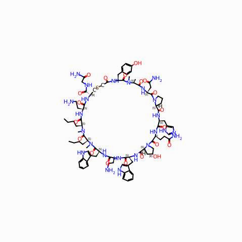 CCCC[C@H]1C(=O)N(C)[C@@H](CCCC)C(=O)N[C@@H](CCN)C(=O)N[C@H](C(=O)NCC(N)=O)CSCC(=O)N[C@@H](Cc2ccc(O)cc2)C(=O)N(C)[C@@H](C)C(=O)N[C@@H](CC(N)=O)C(=O)N2CCC[C@H]2C(=O)N[C@@H](Cc2cnc[nH]2)C(=O)N[C@@H](CCC(N)=O)C(=O)N2C[C@H](O)C[C@H]2C(=O)N[C@@H](Cc2c[nH]c3ccccc23)C(=O)N[C@@H](CCN)C(=O)N[C@@H](Cc2c[nH]c3ccccc23)C(=O)N1C